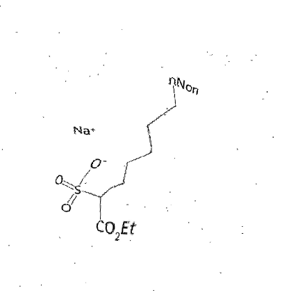 CCCCCCCCCCCCCCC(C(=O)OCC)S(=O)(=O)[O-].[Na+]